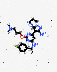 C[C@H](Nc1cc(-c2c(N)nn3cccnc23)nc(OCCCN(C)C)n1)c1ccc(F)cc1